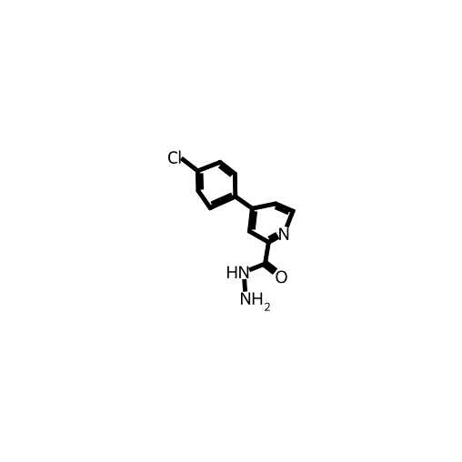 NNC(=O)c1cc(-c2ccc(Cl)cc2)ccn1